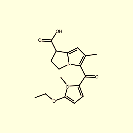 CCOc1ccc(C(=O)c2c(C)cc3n2CCC3C(=O)O)n1C